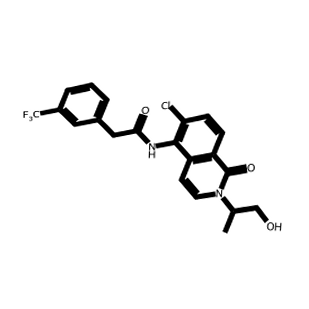 CC(CO)n1ccc2c(NC(=O)Cc3cccc(C(F)(F)F)c3)c(Cl)ccc2c1=O